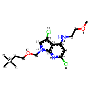 COCCNc1cc(Cl)nc2c1c(Cl)cn2COCC[Si](C)(C)C